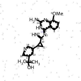 COc1cccc2/c(=N/C(=N)C3CC3c3cncc(C(C)(C)O)c3)[nH]c(N)nc12